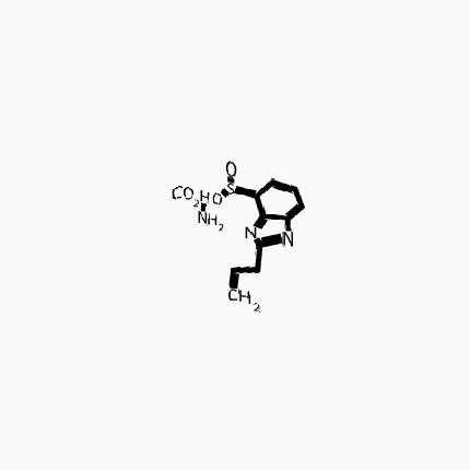 C=CCC1=NC2=CC=CC(=S(=O)=O)C2=N1.NC(=O)O